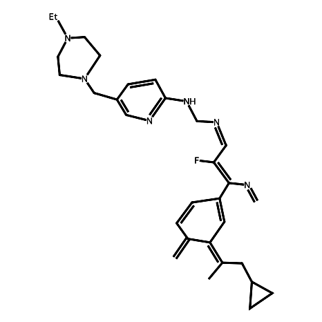 C=N/C(=C(F)\C=N/CNc1ccc(CN2CCN(CC)CC2)cn1)c1ccc(=C)/c(=C(\C)CC2CC2)c1